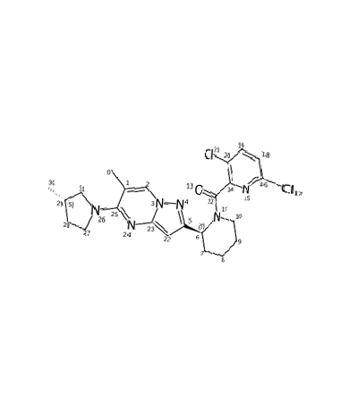 Cc1cn2nc([C@@H]3CCCCN3C(=O)c3nc(Cl)ccc3Cl)cc2nc1N1CC[C@H](C)C1